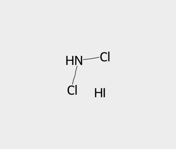 ClNCl.I